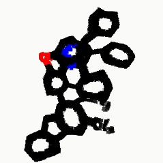 Cc1cc2c(c(-c3ccc4oc5ccccc5c4c3-c3ccccc3-c3nnnc(-c4ccccc4)c3-c3ccccc3)c1C)Cc1ccccc1-2